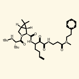 C=CCCC(NC(=O)[C@@H]1[C@@H]2[C@H](CN1C(=O)[C@@H](NC(C)(C)C)C(C)(C)C)C2(C)C)C(=O)C(=O)NCCC(=O)N(C)CCc1ccccc1